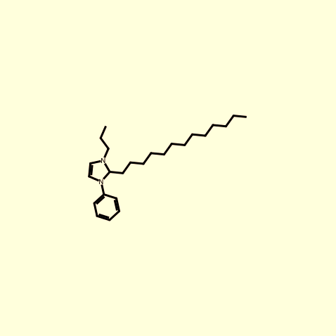 CCCCCCCCCCCCCC1N(CCC)C=CN1c1ccccc1